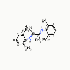 CCCC(=Nc1c(C(C)C)cccc1C(C)C)C(C)=Nc1c(C)cccc1C